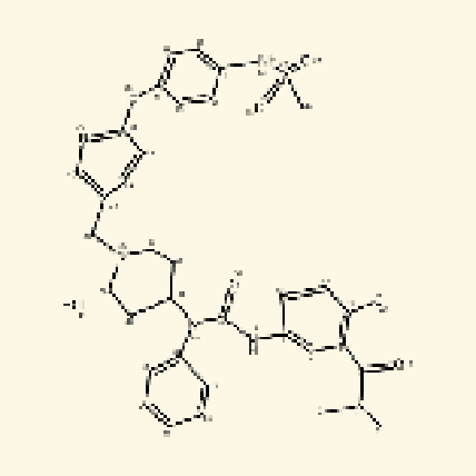 CN(C)C(=O)c1cc(NC(=O)N(c2ccccc2)C2CCN(Cc3ccc(Oc4ccc(NS(C)(=O)=O)cc4)nc3)CC2)ccc1Cl.Cl